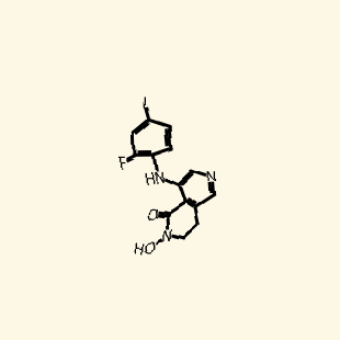 O=C1c2c(cncc2Nc2ccc(I)cc2F)CCN1O